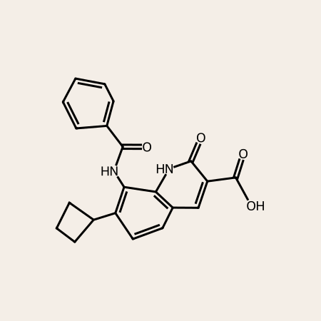 O=C(Nc1c(C2CCC2)ccc2cc(C(=O)O)c(=O)[nH]c12)c1ccccc1